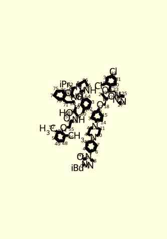 CCC(C)n1ncn(-c2ccc(N3CCN(c4ccc(OC[C@H]5CO[C@](Cn6cncn6)(c6ccc(Cl)cc6Cl)O5)cc4)CC3)cc2)c1=O.Cc1cccc(C)c1OCC(=O)N[C@@H](Cc1ccccc1)[C@@H](O)C[C@H](Cc1ccccc1)NC(=O)[C@H](C(C)C)N1CCCNC1=O